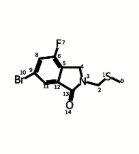 CSCN1Cc2c(F)cc(Br)cc2C1=O